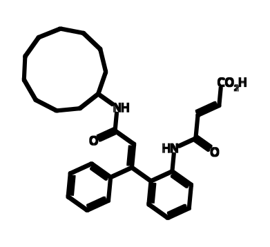 O=C(O)C=CC(=O)Nc1ccccc1C(=CC(=O)NC1CCCCCCCCCC1)c1ccccc1